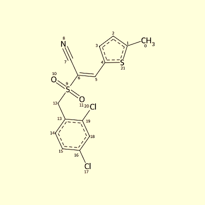 Cc1ccc(C=C(C#N)S(=O)(=O)Cc2ccc(Cl)cc2Cl)s1